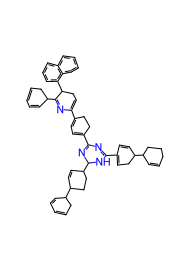 C1=CCC(C2=NC(C3=CC=C(C4=NC(C5C=CC(C6C=CC=CC6)CC5)NC(C5=CCC(C6C=CCCC6)C=C5)=N4)CC3)=CCC2c2cccc3ccccc23)C=C1